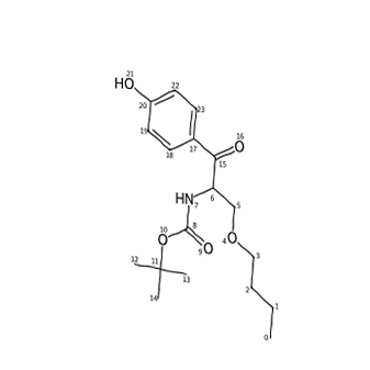 CCCCOCC(NC(=O)OC(C)(C)C)C(=O)c1ccc(O)cc1